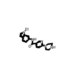 CCn1ccc2ccc(NC(=O)c3ccc(N4CCNCC4)nc3)cc21